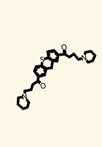 O=C(CCCN1CCCCC1)c1ccc2c(c1)Cc1cc(C(=O)CCCN3CCCCC3)ccc1S2